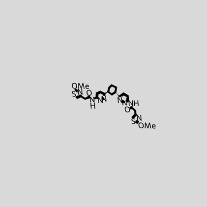 COc1nc(CC(=O)Nc2ccc([C@H]3CCC[C@H](c4ccc(NC(=O)Cc5csc(OC)n5)nn4)C3)nn2)cs1